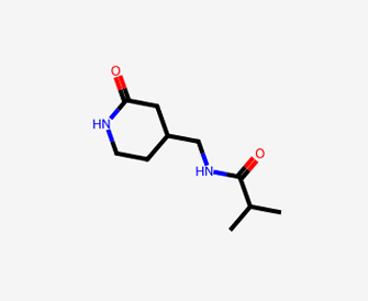 CC(C)C(=O)NCC1CCNC(=O)C1